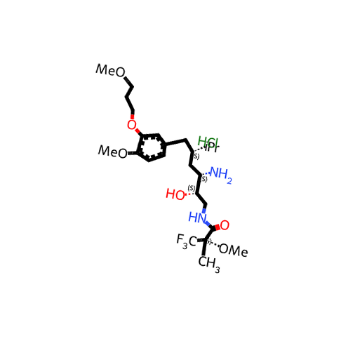 COCCCOc1cc(C[C@@H](C[C@H](N)[C@@H](O)CNC(=O)[C@](C)(OC)C(F)(F)F)C(C)C)ccc1OC.Cl